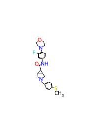 CSc1ccc(CN2CC3C(C2)C3C(=O)Nc2ccc(N3CCOCC3)c(F)c2)cc1